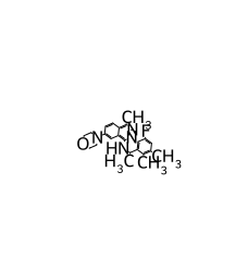 Cc1cc(F)cc([C@@H](C)Nc2nnc(C)c3ccc(N4CCOCC4)cc23)c1C